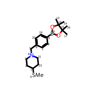 CSC1CCN(Cc2ccc(B3OC(C)(C)C(C)(C)O3)cc2)CC1